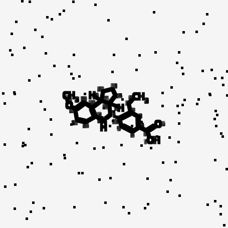 CCc1cc(C(=O)O)ccc1[C@@H]1Nc2ccc(OC)cc2[C@@H]2CCC[C@@H]21